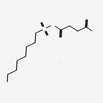 CCCCCCCCS(=O)(=O)OC(=O)CCC(=O)[O-].[Na+]